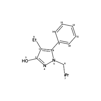 CCc1c(O)nn(CC(C)C)c1-c1ccccc1